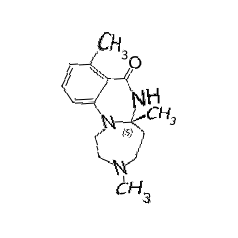 Cc1cccc2c1C(=O)N[C@]1(C)CCN(C)CCN21